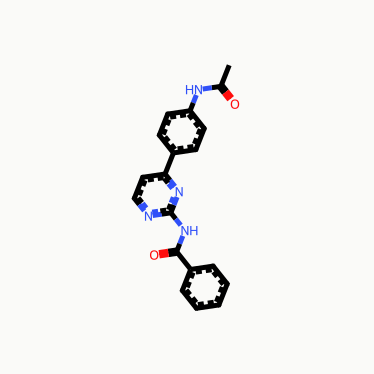 CC(=O)Nc1ccc(-c2ccnc(NC(=O)c3ccccc3)n2)cc1